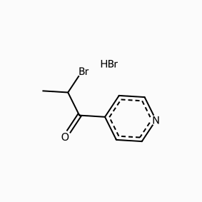 Br.CC(Br)C(=O)c1ccncc1